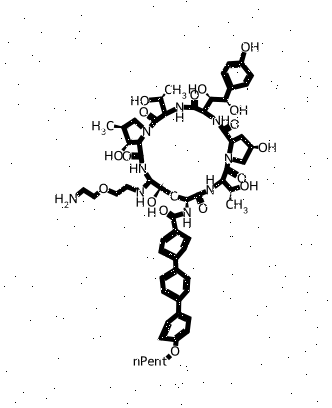 CCCCCOc1ccc(-c2ccc(-c3ccc(C(=O)N[C@H]4C[C@@H](O)C(NCCOCCN)NC(=O)C5[C@@H](O)[C@@H](C)CN5C(=O)C([C@@H](C)O)NC(=O)C([C@H](O)[C@@H](O)c5ccc(O)cc5)NC(=O)C5C[C@@H](O)CN5C(=O)C([C@@H](C)O)NC4=O)cc3)cc2)cc1